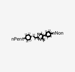 CCCCCCCCCc1ccc(-c2cnc(CC[C@H]3CC[C@H](CCCCC)CC3)nc2F)cc1